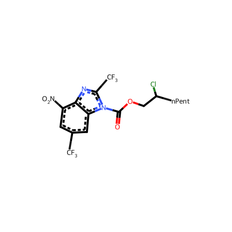 CCCCCC(Cl)COC(=O)n1c(C(F)(F)F)nc2c([N+](=O)[O-])cc(C(F)(F)F)cc21